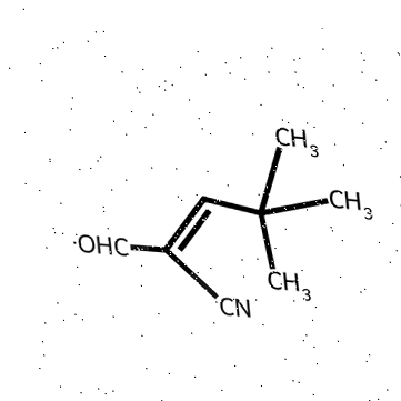 CC(C)(C)C=C([C]=O)C#N